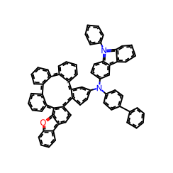 c1ccc(-c2ccc(N(c3ccc4c(c3)c3ccccc3c3ccccc3c3ccccc3c3c4ccc4c5ccccc5oc43)c3ccc4c(c3)c3ccccc3n4-c3ccccc3)cc2)cc1